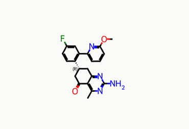 COc1cccc(-c2cc(F)ccc2[C@H]2CC(=O)c3c(C)nc(N)nc3C2)n1